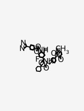 Cn1ccc(=O)n(-c2ccc(C[C@H](NC(=O)c3cc(F)c(NS(=O)(=O)c4ccc(-c5cncnc5)cc4)cc3F)C(=O)OC3CCCCC3)cc2)c1=O